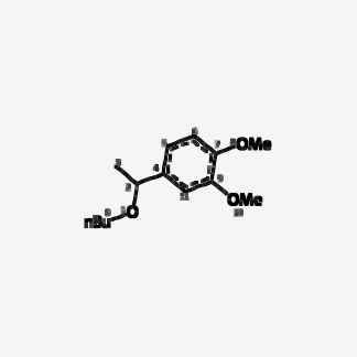 CCCCOC(C)c1ccc(OC)c(OC)c1